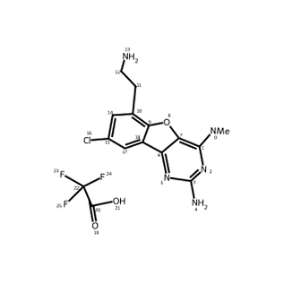 CNc1nc(N)nc2c1oc1c(CCN)cc(Cl)cc12.O=C(O)C(F)(F)F